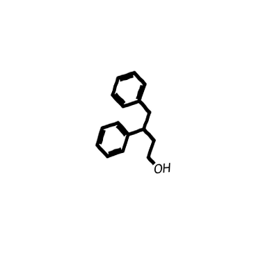 OCCC(Cc1ccccc1)c1ccccc1